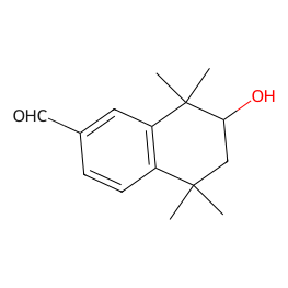 CC1(C)CC(O)C(C)(C)c2cc(C=O)ccc21